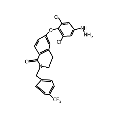 NNc1cc(Cl)c(Oc2ccc3c(c2)CCN(Cc2ccc(C(F)(F)F)cc2)C3=O)c(Cl)c1